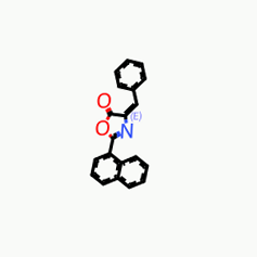 O=C1OC(c2cccc3ccccc23)=N/C1=C/c1ccccc1